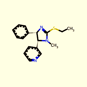 CCSC1=N[C@@H](c2ccccc2)[C@@H](c2cccnc2)N1C